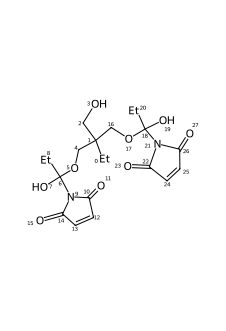 CCC(CO)(COC(O)(CC)N1C(=O)C=CC1=O)COC(O)(CC)N1C(=O)C=CC1=O